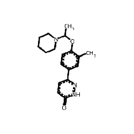 Cc1cc(-c2ccc(=O)[nH]n2)ccc1OC(C)N1CCCCC1